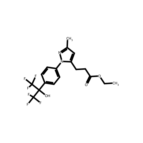 CCOC(=O)CCc1cc(C)nn1-c1ccc(C(O)(C(F)(F)F)C(F)(F)F)cc1